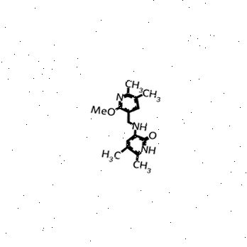 COc1nc(C)c(C)cc1CNc1cc(C)c(C)[nH]c1=O